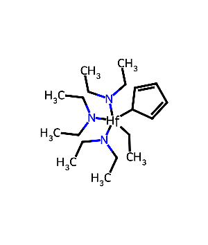 CC[N](CC)[Hf]([CH2]C)([CH]1C=CC=C1)([N](CC)CC)[N](CC)CC